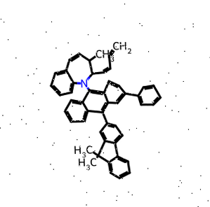 C=C/C=C\C1C(C)C=Cc2ccccc2N1c1c2ccccc2c(-c2ccc3c(c2)C(C)(C)c2ccccc2-3)c2cc(-c3ccccc3)ccc12